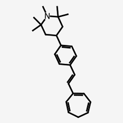 CN1C(C)(C)CC(c2ccc(/C=C/C3=CC=CCC=C3)cc2)CC1(C)C